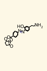 NCCc1ccc(/N=N/c2ccc(C(=O)ON3C(=O)CCC3=O)cc2)c(O)c1